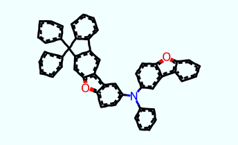 c1ccc(N(c2ccc3oc4ccccc4c3c2)c2ccc3oc4cc5c(cc4c3c2)-c2ccccc2C5(c2ccccc2)c2ccccc2)cc1